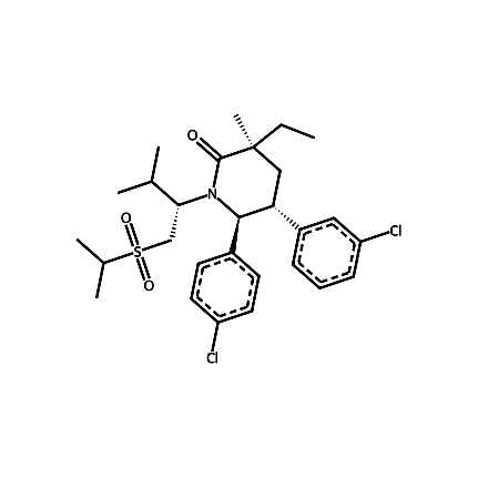 CC[C@@]1(C)C[C@H](c2cccc(Cl)c2)[C@@H](c2ccc(Cl)cc2)N([C@H](CS(=O)(=O)C(C)C)C(C)C)C1=O